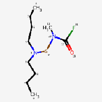 CCCCN(CCCC)SN(C)C(=O)F